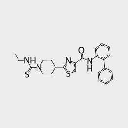 CCNC(=S)N1CCC(c2nc(C(=O)Nc3ccccc3-c3ccccc3)cs2)CC1